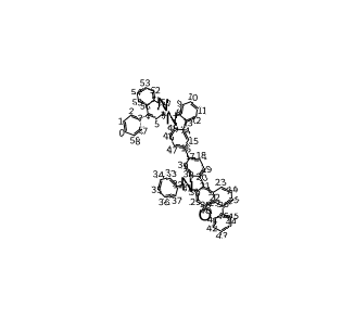 c1ccc(-c2cc(-n3c4ccccc4c4cc(-c5ccc6c7c8cccc9c8c(cc7n(-c7ccccc7)c6c5)Oc5ccccc5-9)ccc43)nc3ccccc23)cc1